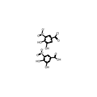 O=C(Cl)c1cc(O)c(O)c([N+](=O)[O-])c1.O=C(O)c1cc(O)c(O)c([N+](=O)[O-])c1